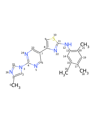 Cc1cn(-c2ncc(-c3csc(Nc4cc(C)c(C)cc4C)n3)cn2)cn1